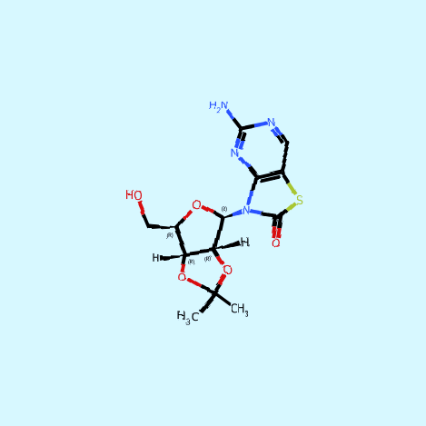 CC1(C)O[C@@H]2[C@H](O1)[C@@H](CO)O[C@H]2n1c(=O)sc2cnc(N)nc21